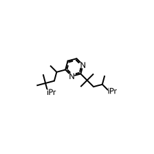 CC(CC(C)(C)C(C)C)c1ccnc(C(C)(C)CC(C)C(C)C)n1